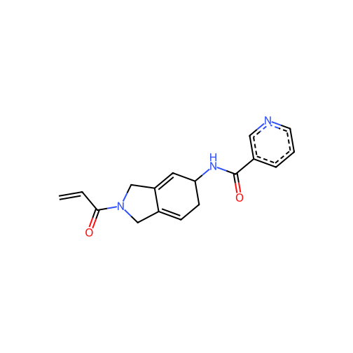 C=CC(=O)N1CC2=CCC(NC(=O)c3cccnc3)C=C2C1